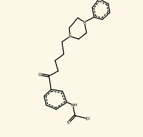 CCC(=S)Nc1cccc(C(=O)CCCCN2CCN(c3ccccc3)CC2)c1